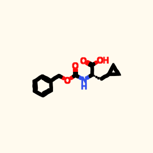 O=C(N[C@@H](CC1CC1)C(=O)O)OCc1ccccc1